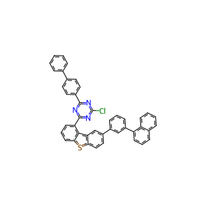 Clc1nc(-c2ccc(-c3ccccc3)cc2)nc(-c2cccc3sc4ccc(-c5cccc(-c6cccc7ccccc67)c5)cc4c23)n1